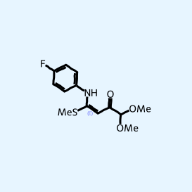 COC(OC)C(=O)/C=C(\Nc1ccc(F)cc1)SC